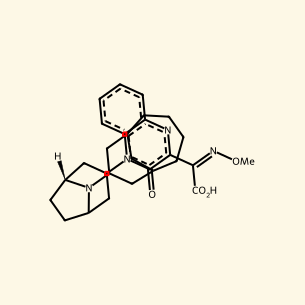 CON=C(C(=O)O)c1nc2ccccc2n(C2CC3CC[C@H](C2)N3C2CC3CCCCC(C3)C2)c1=O